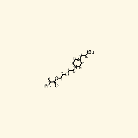 CC(C)C(C)C(=O)OCCOCCN1CCN(CCC(C)(C)C)CC1